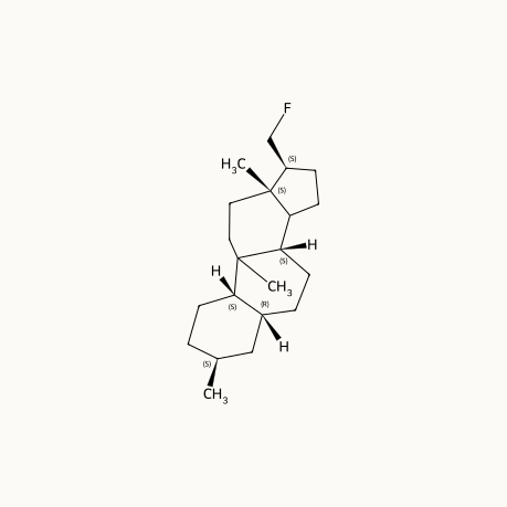 C[C@H]1CC[C@H]2[C@H](CC[C@H]3C4CC[C@H](CF)[C@@]4(C)CCC32C)C1